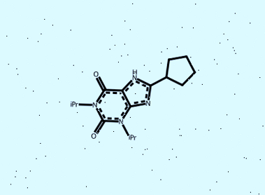 CC(C)n1c(=O)c2[nH]c(C3CCCC3)nc2n(C(C)C)c1=O